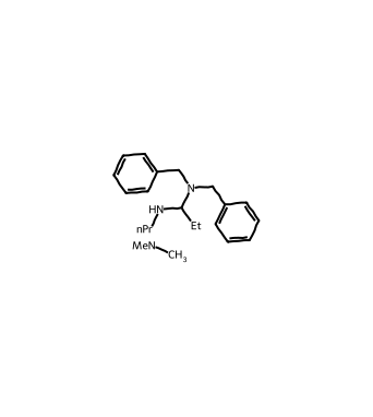 CCCNC(CC)N(Cc1ccccc1)Cc1ccccc1.CNC